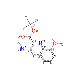 CNc1cc2cccc(OC)c2nc1C(=O)OC(C)(C)C